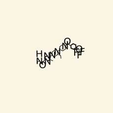 CC[C@H]1CN(c2ncc(C(=O)NC)nc2C)CCN1C1CCN(C(=O)c2ccc(OC(F)(F)F)cc2)CC1